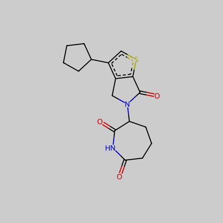 O=C1CCCC(N2Cc3c(C4CCCC4)csc3C2=O)C(=O)N1